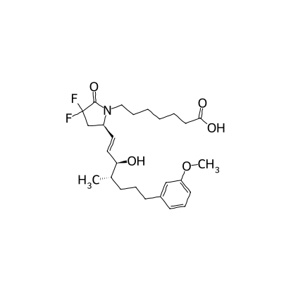 COc1cccc(CCC[C@H](C)[C@H](O)/C=C/[C@H]2CC(F)(F)C(=O)N2CCCCCCC(=O)O)c1